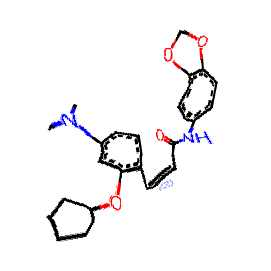 CN(C)c1ccc(/C=C\C(=O)Nc2ccc3c(c2)OCO3)c(OC2CCCC2)c1